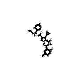 O=C(NC(CCO)c1ccc(F)cc1)c1cn2nc(-c3cc(Cl)ccc3F)[nH]c(=O)c2c1C1CC1